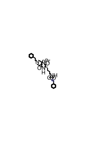 CCCN1C(=O)[C@H](CCCCNS(=O)(=O)/C=C/c2ccccc2)NC(=O)C12CCN(CCc1ccccc1)CC2